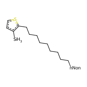 CCCCCCCCCCCCCCCCCCc1sccc1[SiH3]